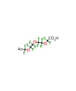 CC(=O)C(F)(F)OC(F)(F)C(F)(F)OC(F)(F)C(F)(F)OC(F)(F)C(=O)O